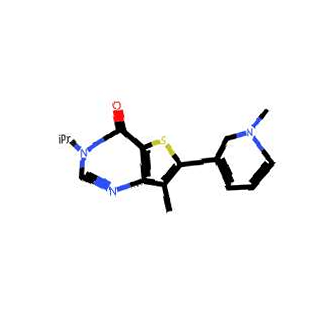 Cc1c(C2=CC=CN(C)C2)sc2c(=O)n(C(C)C)cnc12